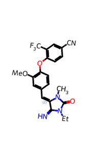 CCN1C(=N)/C(=C/c2ccc(Oc3ccc(C#N)cc3C(F)(F)F)c(OC)c2)N(C)C1=O